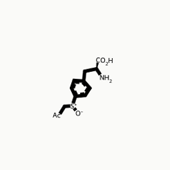 CC(=O)C[S+]([O-])c1ccc(C[C@H](N)C(=O)O)cc1